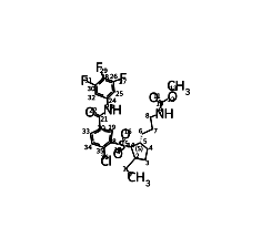 CCC1CC[C@@H](CCCNC(=O)OC)C1S(=O)(=O)c1cc(C(=O)Nc2cc(F)c(F)c(F)c2)ccc1Cl